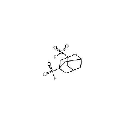 O=S(=O)(F)C12CC3CC(C1)CC(S(=O)(=O)F)(C3)C2